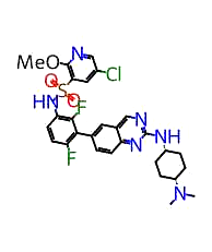 COc1ncc(Cl)cc1S(=O)(=O)Nc1ccc(F)c(-c2ccc3nc(N[C@H]4CC[C@@H](N(C)C)CC4)ncc3c2)c1F